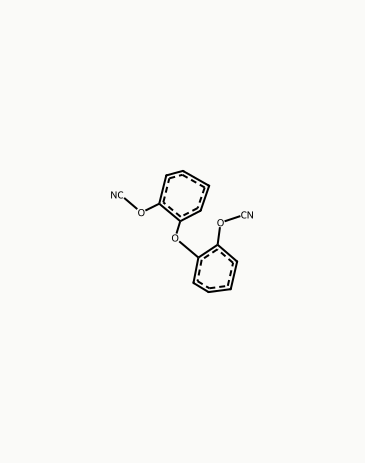 N#COc1ccccc1Oc1ccccc1OC#N